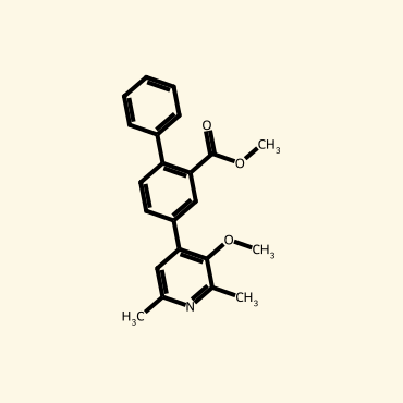 COC(=O)c1cc(-c2cc(C)nc(C)c2OC)ccc1-c1ccccc1